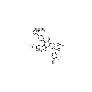 CC(C)Cc1cnn2c3c(c(=O)n(-c4ccc(-c5nccn5C)cc4)c12)CC(C)N(C(=O)c1ccc(Br)c(C(F)(F)F)c1)C3